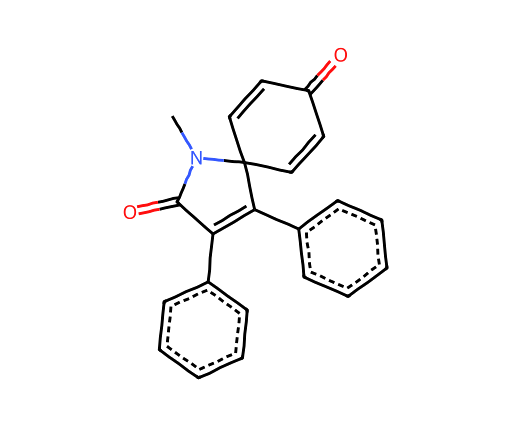 CN1C(=O)C(c2ccccc2)=C(c2ccccc2)C12C=CC(=O)C=C2